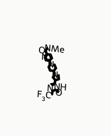 CNC(=O)c1ccc(N2CCC(N3CCC(c4cnc(CC(F)(F)F)c(=O)[nH]4)C3)CC2)cn1